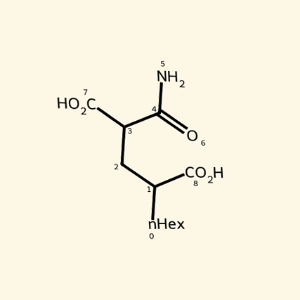 CCCCCCC(CC(C(N)=O)C(=O)O)C(=O)O